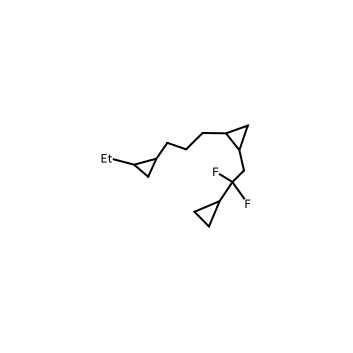 CCC1CC1CCCC1CC1CC(F)(F)C1CC1